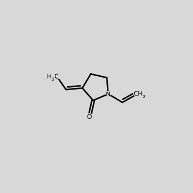 C=CN1CCC(=CC)C1=O